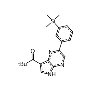 CC(C)(C)C(=O)c1c[nH]c2ncc(-c3cccc([Si](C)(C)C)c3)nc12